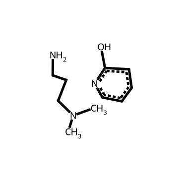 CN(C)CCCN.Oc1ccccn1